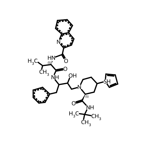 CC(C)[C@H](NC(=O)c1ccc2ccccc2n1)C(=O)NC(Cc1ccccc1)C(O)CN1CCC([SH]2C=CC=C2)C[C@H]1C(=O)NC(C)(C)C